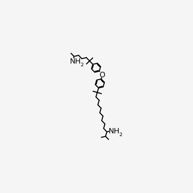 CC(N)CCCC(C)(C)c1ccc(Oc2ccc(C(C)(C)CCCCCCCCCC(N)C(C)C)cc2)cc1